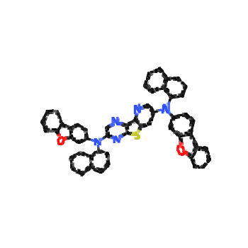 c1ccc2c(N(c3ccc4c(c3)oc3ccccc34)c3cnc4c(c3)sc3nc(N(c5ccc6c(c5)oc5ccccc56)c5cccc6ccccc56)cnc34)cccc2c1